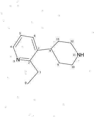 [CH2]Cc1ncccc1C1CCNCC1